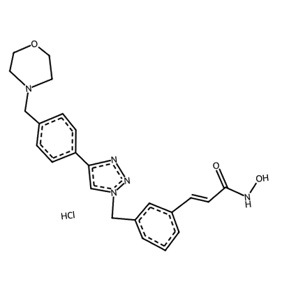 Cl.O=C(C=Cc1cccc(Cn2cc(-c3ccc(CN4CCOCC4)cc3)nn2)c1)NO